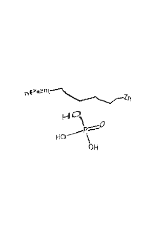 CCCCCCCC[CH2][Zn].O=P(O)(O)O